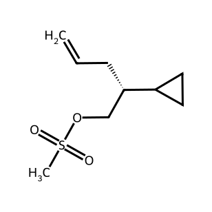 C=CC[C@@H](COS(C)(=O)=O)C1CC1